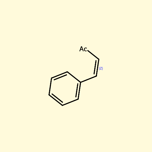 CC(=O)/C=C\c1ccccc1